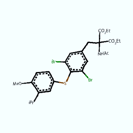 CCOC(=O)C(Cc1cc(Br)c(Sc2ccc(OC)c(C(C)C)c2)c(Br)c1)(NC(C)=O)C(=O)OCC